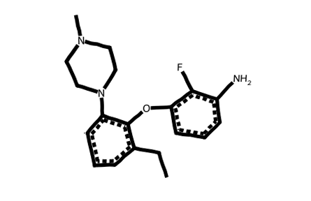 CCc1cc[c]c(N2CCN(C)CC2)c1Oc1cccc(N)c1F